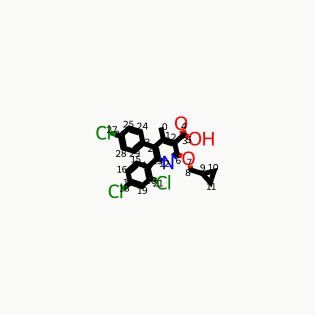 Cc1c(C(=O)O)c(OCC2CC2)nc(-c2ccc(Cl)cc2Cl)c1-c1ccc(Cl)cc1